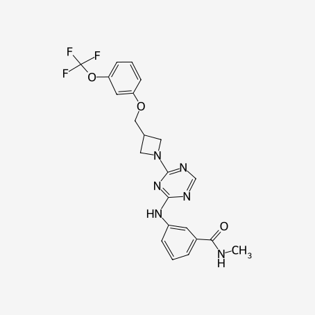 CNC(=O)c1cccc(Nc2ncnc(N3CC(COc4cccc(OC(F)(F)F)c4)C3)n2)c1